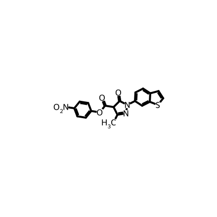 CC1=NN(c2ccc3ccsc3c2)C(=O)C1C(=O)Oc1ccc([N+](=O)[O-])cc1